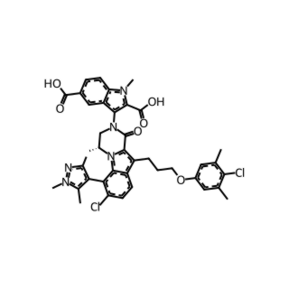 Cc1cc(OCCCc2c3n(c4c(-c5c(C)nn(C)c5C)c(Cl)ccc24)[C@H](C)CN(c2c(C(=O)O)n(C)c4ccc(C(=O)O)cc24)C3=O)cc(C)c1Cl